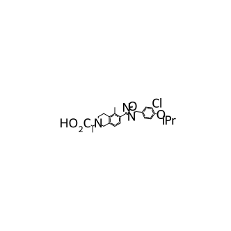 Cc1c(-c2noc(-c3ccc(OC(C)C)c(Cl)c3)n2)ccc2c1CCN(C(C)C(=O)O)C2